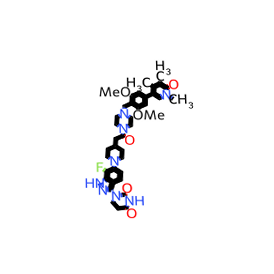 COc1cc(-c2cn(C)c(=O)c(C)c2C)cc(OC)c1CN1CCN(C(=O)CC2CCN(c3ccc4c(N5CCC(=O)NC5=O)n[nH]c4c3F)CC2)CC1